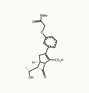 CNC(=O)COc1cccc(C2=C(C(=O)O)N3C(=O)[C@H]([C@@H](C)O)[C@H]3C2)c1